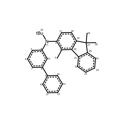 Cc1c(N(c2cccc(-c3ccccc3)c2)C(C)(C)C)ccc2c1-c1ccccc1C2(C)C